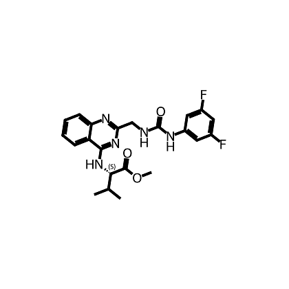 COC(=O)[C@@H](Nc1nc(CNC(=O)Nc2cc(F)cc(F)c2)nc2ccccc12)C(C)C